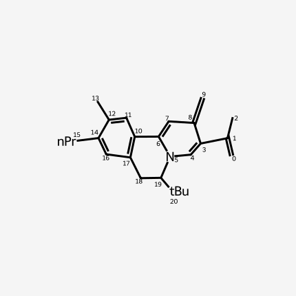 C=C(C)C1=CN2C(=CC1=C)c1cc(C)c(CCC)cc1CC2C(C)(C)C